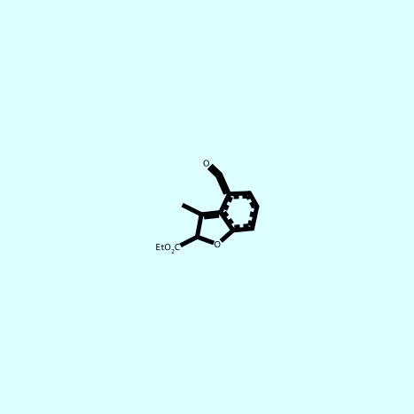 CCOC(=O)C1Oc2cccc(=C=O)c2=C1C